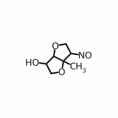 CC12OCC(O)C1OCC2N=O